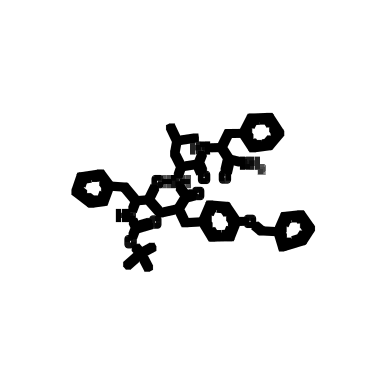 CC(C)CC(NC(=O)C(Cc1ccc(OCc2ccccc2)cc1)CC(O)C(Cc1ccccc1)NC(=O)OC(C)(C)C)C(=O)NC(Cc1ccccc1)C(N)=O